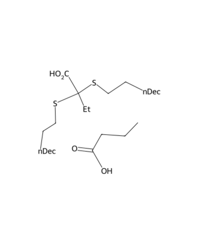 CCCC(=O)O.CCCCCCCCCCCCSC(CC)(SCCCCCCCCCCCC)C(=O)O